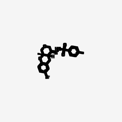 Cc1ccc(S(=O)(=O)N/N=C2\COC[C@]3(C)Oc4ccc(Br)cc4C[C@@H]23)cc1